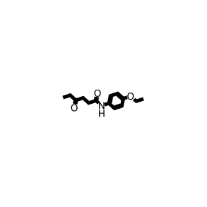 CCOc1ccc(NC(=O)CCC(=O)CC)cc1